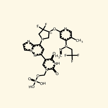 C=NN(CC(F)(F)F)c1cc(O[C@H]2CN(c3cc(-c4cn(COP(=O)(O)O)c(=O)[nH]c4=O)nn4ccnc34)CC2(F)F)ncc1C